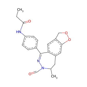 CCC(=O)Nc1ccc(C2=NN(C=O)C(C)Cc3cc4c(cc32)COO4)cc1